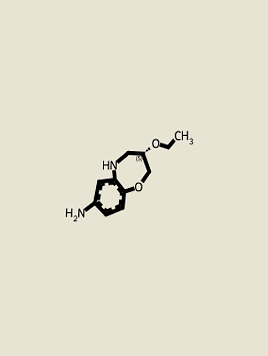 CCO[C@H]1CNc2cc(N)ccc2OC1